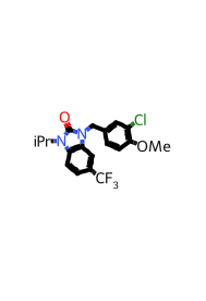 COc1ccc(Cn2c(=O)n(C(C)C)c3ccc(C(F)(F)F)cc32)cc1Cl